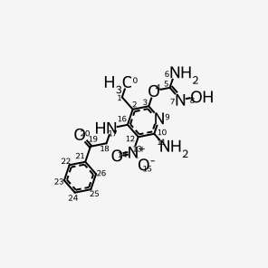 CCc1c(OC(N)=NO)nc(N)c([N+](=O)[O-])c1NCC(=O)c1ccccc1